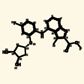 COC(=O)c1sc2ncnc(Nc3ccc(F)cc3O[C@@H]3C[C@@H](O)[C@@H](O)C3)c2c1C